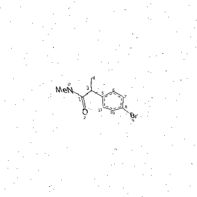 CNC(=O)C(C)c1ccc(Br)cc1